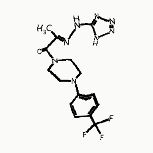 CC(=NNc1nnn[nH]1)C(=O)N1CCN(c2ccc(C(F)(F)F)cc2)CC1